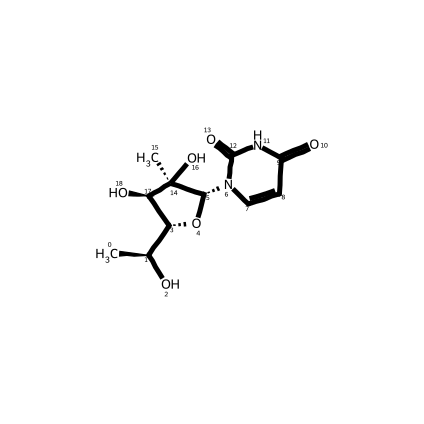 C[C@H](O)[C@H]1O[C@@H](n2ccc(=O)[nH]c2=O)[C@](C)(O)[C@@H]1O